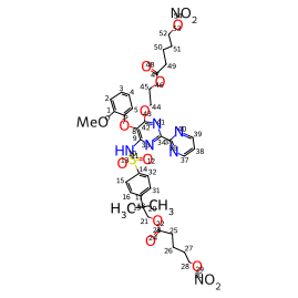 COc1ccccc1Oc1c(NS(=O)(=O)c2ccc(C(C)(C)COC(=O)CCCCO[N+](=O)[O-])cc2)nc(-c2ncccn2)nc1OCCOC(=O)CCCCO[N+](=O)[O-]